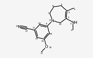 CNC1=C(C)CCCN(c2cc(C#N)cc(OC)c2)C1